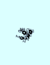 CC(=O)N1CCC(Nc2ncc3nc(Nc4c(Cl)cc(Cl)cc4Cl)n([C@H]4CC[C@@H](C(N)=O)CC4)c3n2)CC1